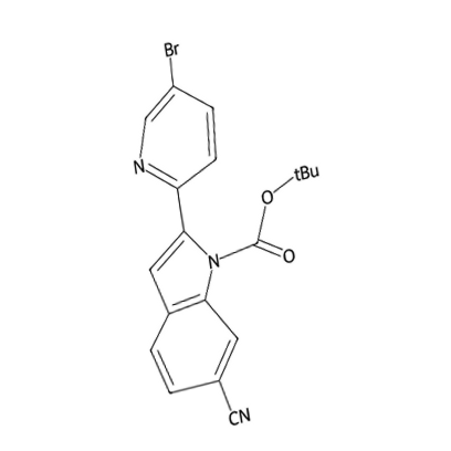 CC(C)(C)OC(=O)n1c(-c2ccc(Br)cn2)cc2ccc(C#N)cc21